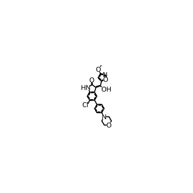 COc1cc(C(O)=C2C(=O)Nc3cc(Cl)c(-c4ccc(N5CCOCC5)cc4)cc32)on1